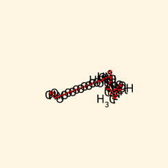 CC[C@@]1(O)C(=O)OCc2c1cc1n(c2=O)Cc2c-1nc1cc(F)c(C)c3c1c2[C@@H](NC(=O)[C@@H](OCNC(=O)CNC(=O)[C@H](Cc1ccccc1)NC(=O)CNC(=O)CNC(=O)COCCOCCOCCOCCOCCOCCOCCOCCOCCNC(=O)[C@H]1CC[C@H](CN2C(=O)C=CC2=O)CC1)C1CC1)CC3